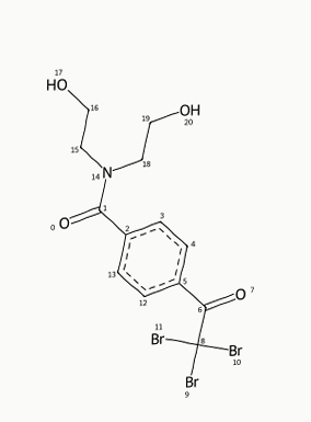 O=C(c1ccc(C(=O)C(Br)(Br)Br)cc1)N(CCO)CCO